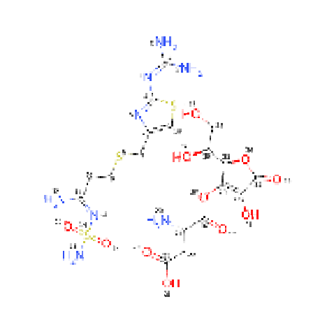 NC(N)=Nc1nc(CSCCC(N)=NS(N)(=O)=O)cs1.N[C@@H](CC(=O)O)C(=O)OC1=C(O)C(=O)O[C@@H]1[C@@H](O)CO